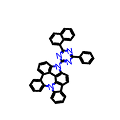 c1ccc(-c2nc(-c3cccc4ccccc34)nc(-n3c4cccc5c6ccccc6n6c7ccccc7c7ccc3c(c54)c76)n2)cc1